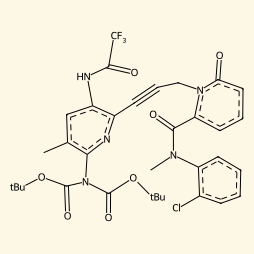 Cc1cc(NC(=O)C(F)(F)F)c(C#CCn2c(C(=O)N(C)c3ccccc3Cl)cccc2=O)nc1N(C(=O)OC(C)(C)C)C(=O)OC(C)(C)C